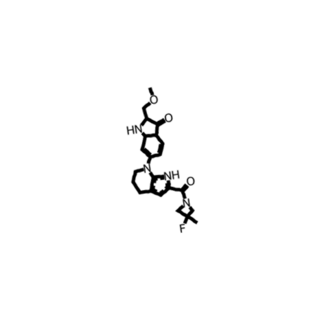 COCC1NC2C=C(N3CCCc4cc(C(=O)N5CC(C)(F)C5)[nH]c43)C=CC2C1=O